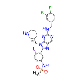 CS(=O)(=O)Nc1ccc(I)c(-c2nc3cnc(NCc4ccc(F)c(F)c4)nc3n2C[C@@H]2CCCNC2)c1